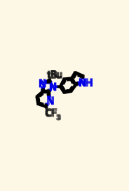 CC(C)(C)c1nc2ccc(C(F)(F)F)nc2n1-c1ccc2[nH]ccc2c1